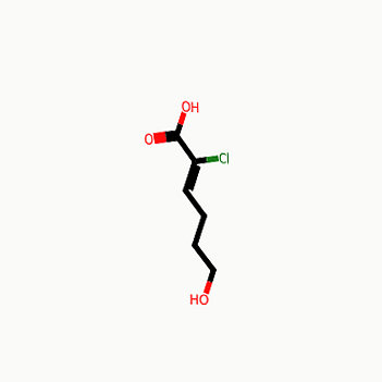 O=C(O)C(Cl)=CCCCO